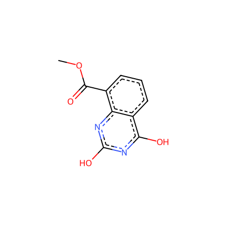 COC(=O)c1cccc2c(O)nc(O)nc12